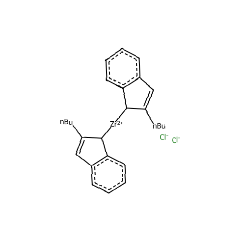 CCCCC1=Cc2ccccc2[CH]1[Zr+2][CH]1C(CCCC)=Cc2ccccc21.[Cl-].[Cl-]